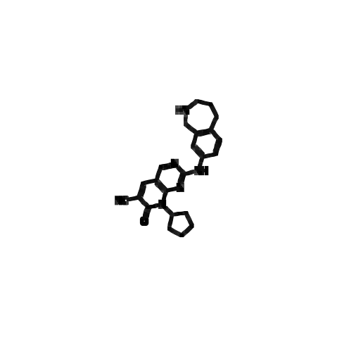 N#Cc1cc2cnc(Nc3ccc4c(c3)CNCCC4)nc2n(C2CCCC2)c1=O